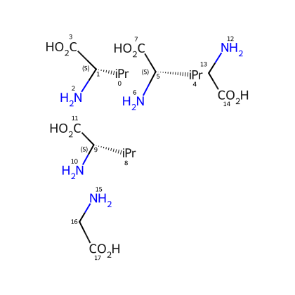 CC(C)[C@H](N)C(=O)O.CC(C)[C@H](N)C(=O)O.CC(C)[C@H](N)C(=O)O.NCC(=O)O.NCC(=O)O